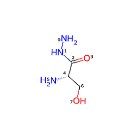 NNC(=O)[C@@H](N)CO